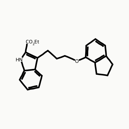 CCOC(=O)c1[nH]c2ccccc2c1CCCOc1cccc2c1CCC2